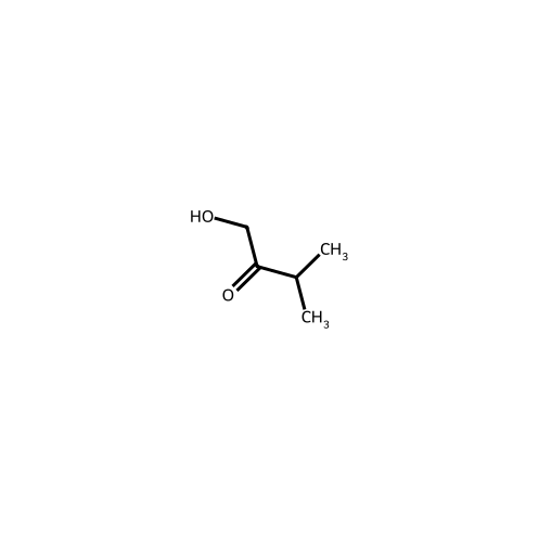 CC(C)C(=O)CO